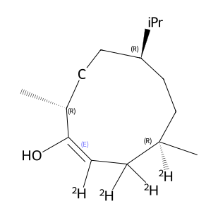 [2H]/C1=C(\O)[C@H](C)CC[C@@H](C(C)C)CC[C@@]([2H])(C)C1([2H])[2H]